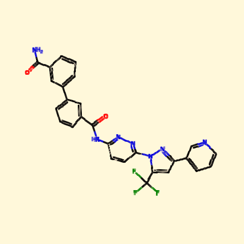 NC(=O)c1cccc(-c2cccc(C(=O)Nc3ccc(-n4nc(-c5cccnc5)cc4C(F)(F)F)nn3)c2)c1